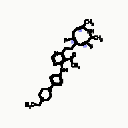 C=C1N/C(C)=C\C/C(F)=C(CCc2ncnc(Nc3ccc(N4CCN(CC)CC4)cn3)c2C(C)=O)\C=C/1F